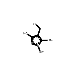 CCCCc1c(CC(C)C)c(O)nn1CCC